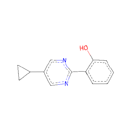 Oc1ccccc1-c1ncc(C2CC2)cn1